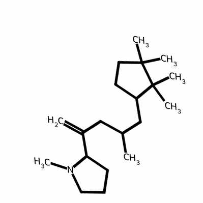 C=C(CC(C)CC1CCC(C)(C)C1(C)C)C1CCCN1C